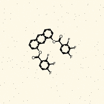 O=C(Oc1cccc2cc3cccc(OC(=O)c4ccc(F)c(F)c4F)c3cc12)c1ccc(F)c(F)c1F